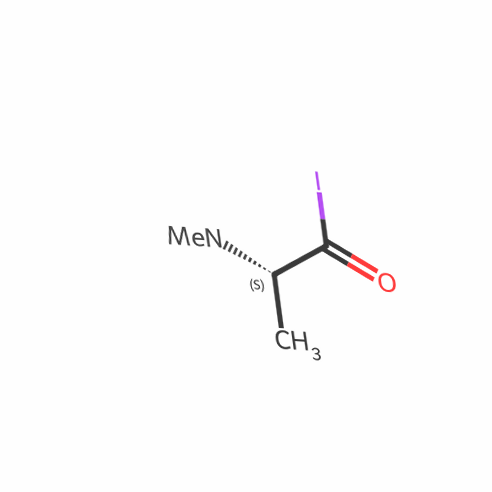 CN[C@@H](C)C(=O)I